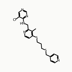 Cc1c(SCCCSCc2ccncc2)ccnc1CNc1ncncc1Cl